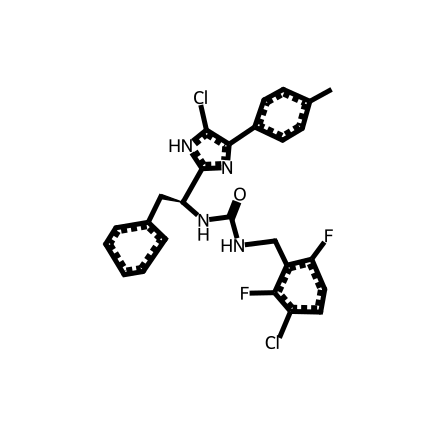 Cc1ccc(-c2nc([C@H](Cc3ccccc3)NC(=O)NCc3c(F)ccc(Cl)c3F)[nH]c2Cl)cc1